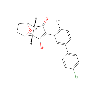 CCc1ccc(-c2ccc(Cl)cc2)cc1C1=C(O)[C@@H]2C3CCC(O3)[C@@H]2C1=O